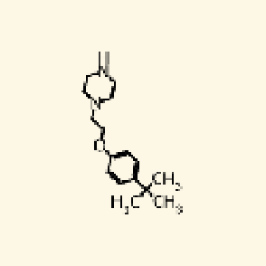 CC(C)(C)c1ccc(OCCN2CCNCC2)cc1